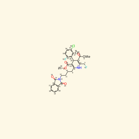 COC(=O)C1=C(CF)NC(CCCCN2C(=O)c3ccccc3C2=O)=C(C(=O)OC(C)C)C1c1c(F)ccc(Cl)c1C(F)(F)F